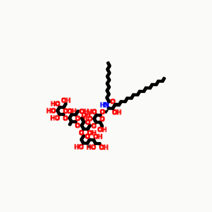 CCCCCCCCCCCCCCC/C=C/[C@@H](O)[C@H](CO[C@@H]1OC(CO)[C@@H](O[C@@H]2OC(CO)[C@H](O[C@@H]3OC(CO)[C@H](O)[C@H](O[C@@H]4OC(CO)[C@H](O)[C@H](O)C4O)C3C)[C@H](OC3C[C@@H](O)[C@@H](C)C([C@H](O)[C@H](O)CO)O3)C2O)[C@H](O)C1O)NC(=O)CCCCCCCCCCC